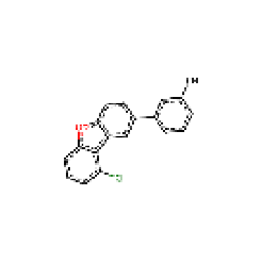 N#Cc1cccc(-c2ccc3oc4cccc(Cl)c4c3c2)c1